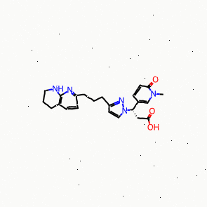 Cn1cc([C@H](CC(=O)O)n2ccc(CCCc3ccc4c(n3)NCCC4)n2)ccc1=O